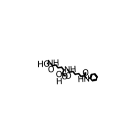 O=C(CCCC(NC(=O)CCCCC(=O)Nc1ccccc1)C(=O)O)NO